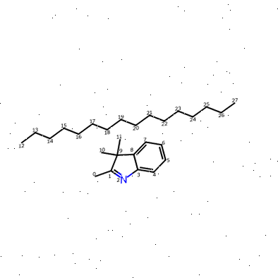 CC1=Nc2ccccc2C1(C)C.CCCCCCCCCCCCCCCC